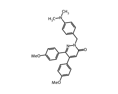 COc1ccc(-c2cc(=O)n(Cc3ccc(N(C)C)cc3)nc2-c2ccc(OC)cc2)cc1